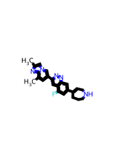 Cc1cn2cc(-c3cc4c(F)cc(C5=CCNCCC5)cc4nn3)cc(C)c2n1